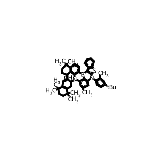 Cc1cc2c3c(c1)N1c4c(ccc5c4C(C)(CCC5(C)C)C4=CC5=C(CC41)C(C)(C)CCC5(C)C)B3c1c(sc3ccccc13)N2c1ccc(C(C)(C)C)cc1C